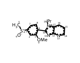 COc1cc([S+](C)[O-])ccc1-c1nc2ncccc2n1C(C)C